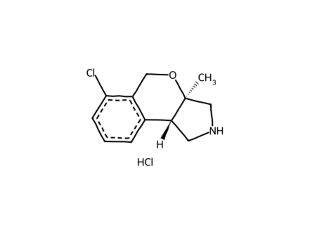 C[C@]12CNC[C@@H]1c1cccc(Cl)c1CO2.Cl